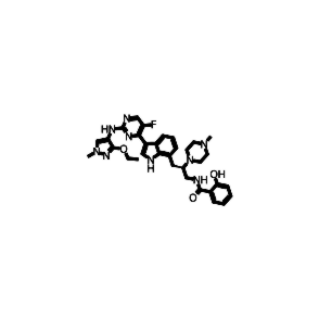 CCOc1nn(C)cc1Nc1ncc(F)c(-c2c[nH]c3c(C[C@H](CNC(=O)c4ccccc4O)N4CCN(C)CC4)cccc23)n1